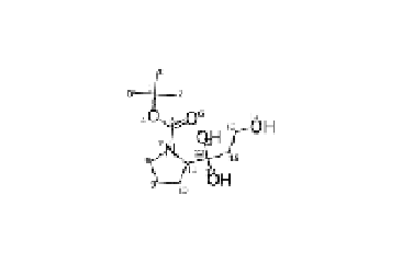 CC(C)(C)OC(=O)N1CCCC1C(O)(O)CCO